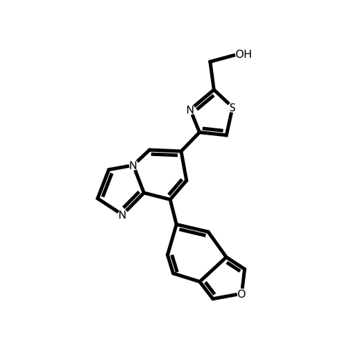 OCc1nc(-c2cc(-c3ccc4cocc4c3)c3nccn3c2)cs1